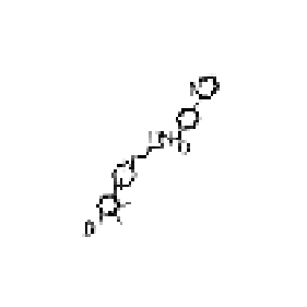 Cc1c(Br)ccc(N2CCN(CCCCNC(=O)c3ccc(-c4ccccn4)cc3)CC2)c1C